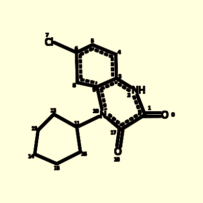 O=c1[nH]c2ccc(Cl)cc2n(C2CCCCC2)c1=O